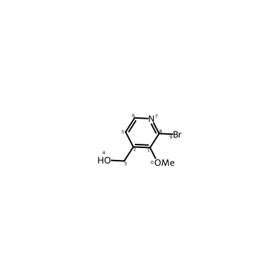 COc1c(CO)ccnc1Br